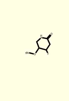 CC(C)(C)OC1CNC(=O)CC1F